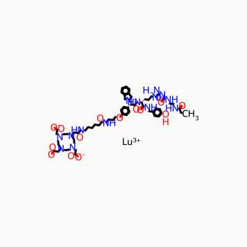 CCC(=O)NCCNC(=O)/N=C(/N)NCCC[C@@H](NC(=O)[C@H](c1ccc(OCCCNC(=O)CCCCCNC(=O)CN2CCN(CC(=O)[O-])CCN(CC(=O)[O-])CCN(CC(=O)[O-])CC2)cc1)N1Cc2ccccc2C1)C(=O)NCc1ccc(O)cc1.[Lu+3]